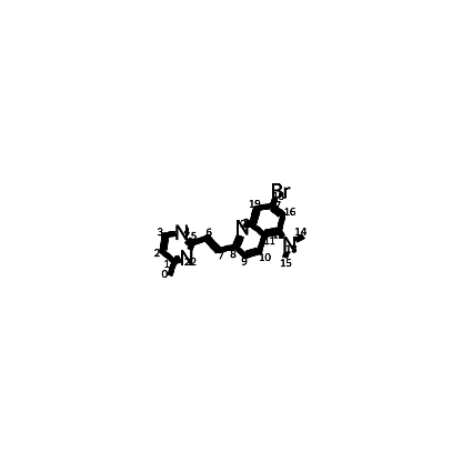 Cc1ccnc(C=Cc2ccc3c(N(C)C)cc(Br)cc3n2)n1